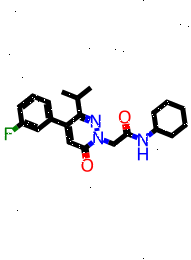 CC(C)c1nn(CC(=O)NC2CCCCC2)c(=O)cc1-c1cccc(F)c1